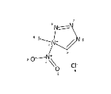 O=[N+]([O-])[N+]1(I)C=NN=N1.[Cl-]